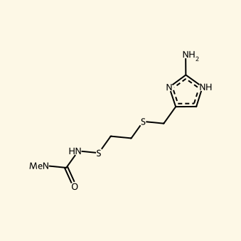 CNC(=O)NSCCSCc1c[nH]c(N)n1